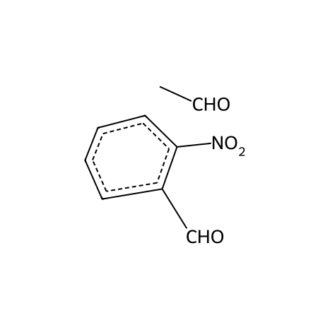 CC=O.O=Cc1ccccc1[N+](=O)[O-]